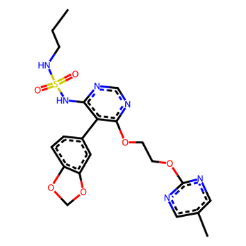 CCCNS(=O)(=O)Nc1ncnc(OCCOc2ncc(C)cn2)c1-c1ccc2c(c1)OCO2